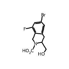 O=C(O)N1Cc2c(F)cc(Br)cc2CC1CO